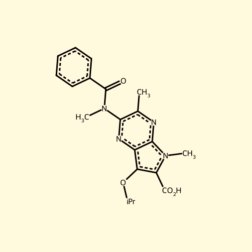 Cc1nc2c(nc1N(C)C(=O)c1ccccc1)c(OC(C)C)c(C(=O)O)n2C